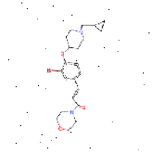 O=C(/C=C/c1ccc(OC2CCN(CC3CC3)CC2)c(Br)c1)N1CCOCC1